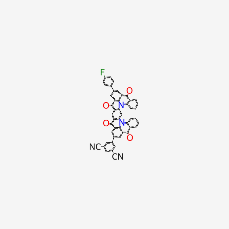 N#Cc1cc(C#N)cc(-c2cc3c(=O)c4ccccc4n4c5cc6c(cc5c(=O)c(c2)c34)c(=O)c2cc(-c3ccc(F)cc3)cc3c(=O)c4ccccc4n6c32)c1